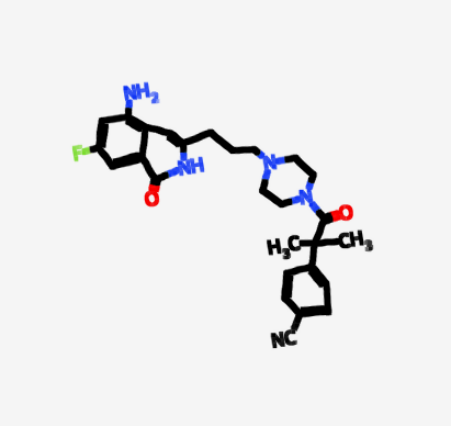 CC(C)(C(=O)N1CCN(CCCc2cc3c(N)cc(F)cc3c(=O)[nH]2)CC1)c1ccc(C#N)cc1